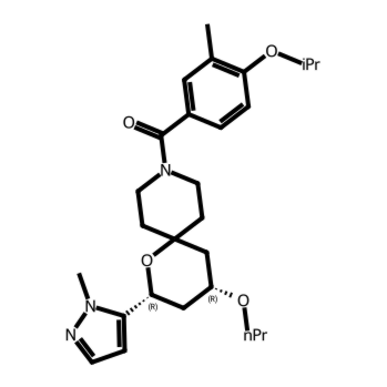 CCCO[C@@H]1C[C@H](c2ccnn2C)OC2(CCN(C(=O)c3ccc(OC(C)C)c(C)c3)CC2)C1